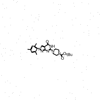 Cc1cc(C)c(-n2cc3c(=O)[nH]c(N4CCN(C(=O)OC(C)(C)C)CC4)nc3n2)c(C)c1